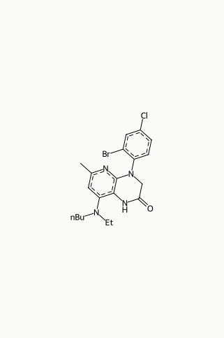 CCCCN(CC)c1cc(C)nc2c1NC(=O)CN2c1ccc(Cl)cc1Br